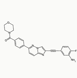 Nc1cc(C#Cc2cn3nc(-c4ccc(C(=O)N5CCOCC5)cc4)ccc3n2)ccc1F